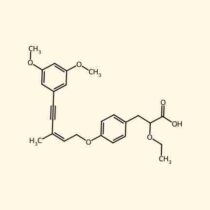 CCOC(Cc1ccc(OCC=C(C)C#Cc2cc(OC)cc(OC)c2)cc1)C(=O)O